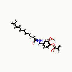 C=C(C)C(=O)Oc1ccc(CNC(=O)CCCCCC/C=C/C(C)C)cc1OC